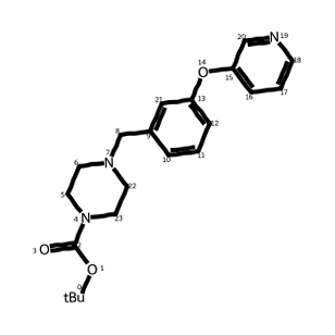 CC(C)(C)OC(=O)N1CCN(Cc2cccc(Oc3cccnc3)c2)CC1